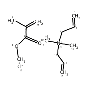 C=C(C)C(=O)OC.C=CC[N+](C)(C)CC=C.[Cl-]